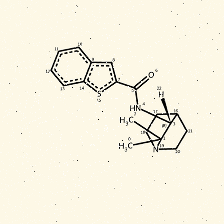 CC1(C)[C@H](NC(=O)c2cc3ccccc3s2)C2CCN1CC2